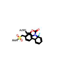 CNS(=O)(=O)Cc1ccc(C2C=CC=CC2(F)N2CC(CNC(C)=O)OC2=O)cc1